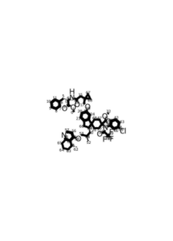 COC(=O)[C@H](Cc1ccccc1)NC(=O)CC1(COc2ccc3c(c2)C2(CCC(C(=O)OC)(N(C(=O)C(F)(F)F)c4cccc(Cl)c4)CC2)[C@@H](C[C@@H](C)COc2ccnc4c2[C@H](C)CCC4)C3)CC1